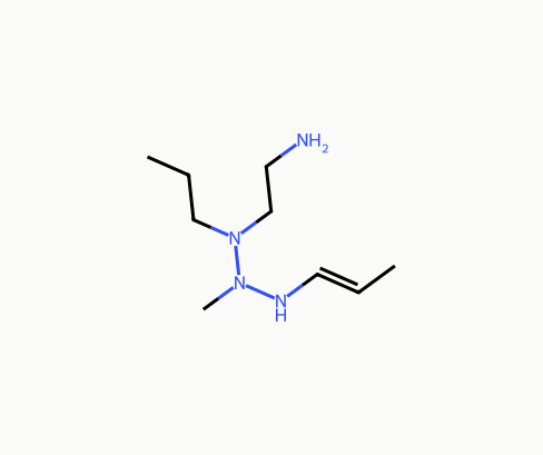 CC=CNN(C)N(CCC)CCN